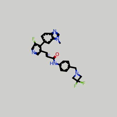 Cn1cnc2ccc(-c3c(F)cncc3/C=C/C(=O)Nc3ccc(CN4CC(F)(F)C4)cc3)cc21